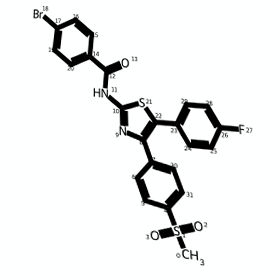 CS(=O)(=O)c1ccc(-c2nc(NC(=O)c3ccc(Br)cc3)sc2-c2ccc(F)cc2)cc1